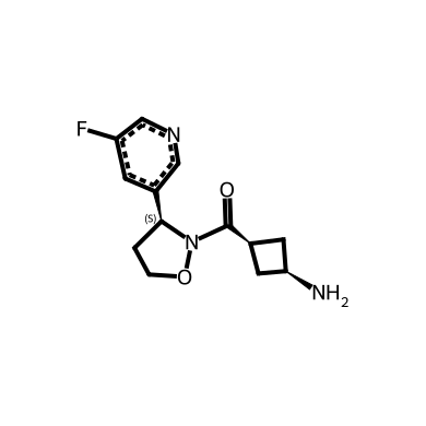 N[C@H]1C[C@@H](C(=O)N2OCC[C@H]2c2cncc(F)c2)C1